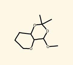 COC1OC(C)(C)OC2CCCOC21